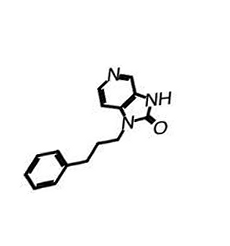 O=c1[nH]c2cnccc2n1CCCc1ccccc1